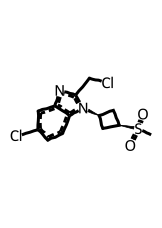 CS(=O)(=O)[C@H]1C[C@@H](n2c(CCl)nc3cc(Cl)ccc32)C1